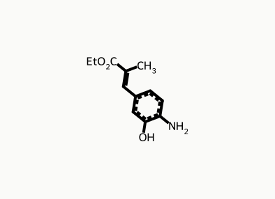 CCOC(=O)/C(C)=C/c1ccc(N)c(O)c1